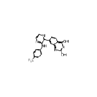 Oc1nc(O)c2ccc(-c3nccnc3Nc3ccc(C(F)(F)F)cc3)cc2n1